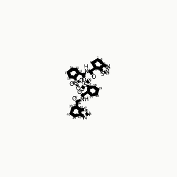 O=C(NC(=O)c1cccc2nnsc12)c1ccccc1S(=O)(=O)OS(=O)(=O)c1ccccc1C(=O)NC(=O)c1cccc2nnsc12